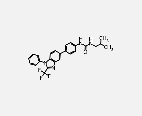 CC(C)CNC(=O)Nc1ccc(-c2ccc3c(c2)nc(C(F)(F)F)n3-c2ccccc2)cc1